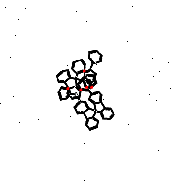 c1ccc(-c2ccc(N(c3ccc4c(c3)C3(c5ccccc5-c5ccc(N(c6ccccc6)c6ccccc6)cc53)c3ccccc3-4)c3cccc4c3C(c3ccccc3)(c3ccccc3)c3ccccc3-4)cc2)cc1